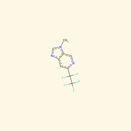 Cn1cnc2cc(C(F)(F)C(F)(F)F)ncc21